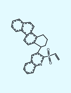 C=CS(=O)(=O)c1nc2ccccc2cc1C1CCCc2c1ccc1c2ccc2ccccc21